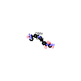 COc1cc(C2=CN(C)C(=O)N3CCCCC23)cc(OC)c1CN1CCC2(CC1)CC(c1ccc3c(c1)C(=O)N(C1CCC(=O)NC1=O)C3=O)C2